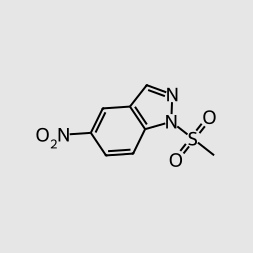 CS(=O)(=O)n1ncc2cc([N+](=O)[O-])ccc21